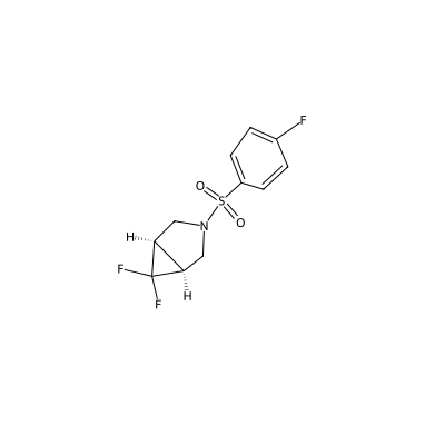 O=S(=O)(c1ccc(F)cc1)N1C[C@@H]2[C@H](C1)C2(F)F